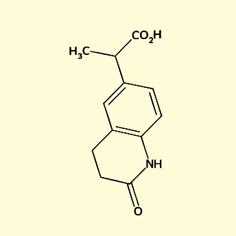 CC(C(=O)O)c1ccc2c(c1)CCC(=O)N2